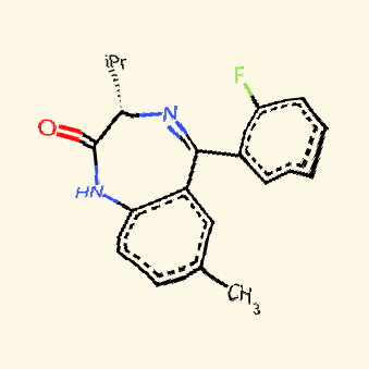 Cc1ccc2c(c1)C(c1ccccc1F)=N[C@@H](C(C)C)C(=O)N2